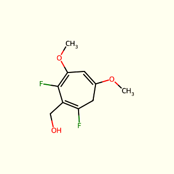 COC1=CC(OC)=C(F)C(CO)=C(F)C1